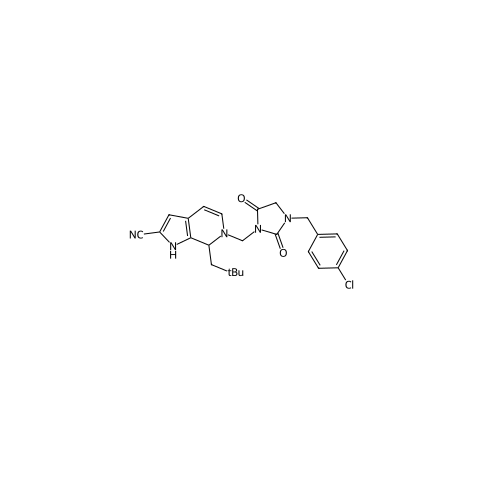 CC(C)(C)CC1c2[nH]c(C#N)cc2C=CN1CN1C(=O)CN(Cc2ccc(Cl)cc2)C1=O